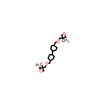 CC1(COCC2CCC(C3CCC(COCC4(C)COC4)CC3)CC2)COC1